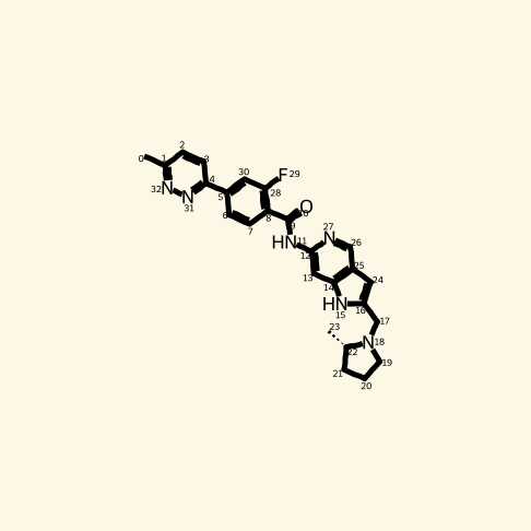 Cc1ccc(-c2ccc(C(=O)Nc3cc4[nH]c(CN5CCC[C@@H]5C)cc4cn3)c(F)c2)nn1